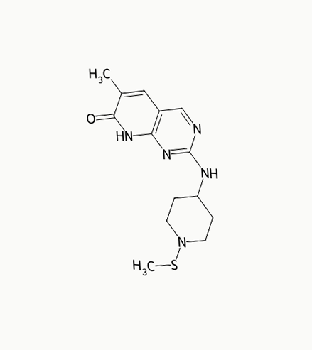 CSN1CCC(Nc2ncc3cc(C)c(=O)[nH]c3n2)CC1